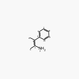 CC(N)=C(C)c1ccccc1